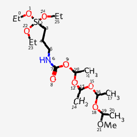 CCO[Si](CCCNC(=O)OC(C)OC(C)OC(C)OC(C)OC)(OCC)OCC